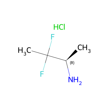 C[C@@H](N)C(C)(F)F.Cl